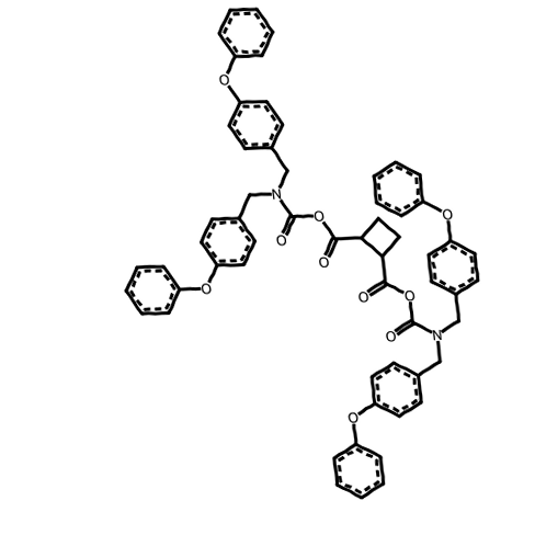 O=C(OC(=O)N(Cc1ccc(Oc2ccccc2)cc1)Cc1ccc(Oc2ccccc2)cc1)C1CCC1C(=O)OC(=O)N(Cc1ccc(Oc2ccccc2)cc1)Cc1ccc(Oc2ccccc2)cc1